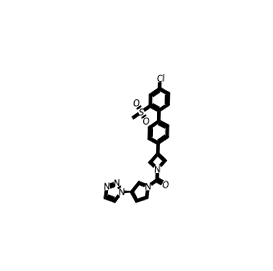 CS(=O)(=O)c1cc(Cl)ccc1-c1ccc(C2CN(C(=O)N3CC[C@@H](n4ccnn4)C3)C2)cc1